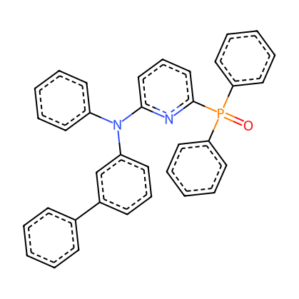 O=P(c1ccccc1)(c1ccccc1)c1cccc(N(c2ccccc2)c2cccc(-c3ccccc3)c2)n1